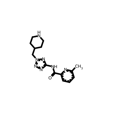 Cc1cccc(C(=O)Nc2nnn(CC3CCNCC3)n2)n1